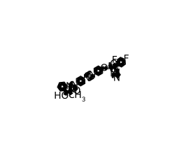 CC(C(O)c1ccccc1)n1ncn(-c2ccc(N3CCN(c4ccc(OC[C@@H]5CO[C@@](Cn6cncn6)(c6ccc(F)cc6F)O5)cc4)CC3)cc2)c1=O